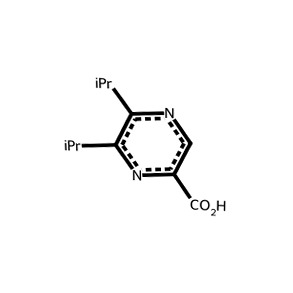 CC(C)c1ncc(C(=O)O)nc1C(C)C